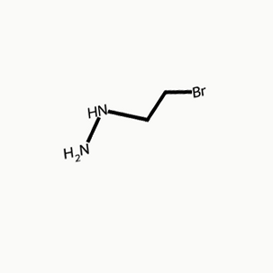 NNCCBr